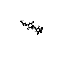 CN(C)CCNC1=CC(=O)c2nc(-c3cc(F)c(F)c(F)c3F)sc2C1=O